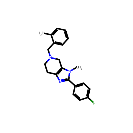 Cc1ccccc1CN1CCc2nc(-c3ccc(F)cc3)n(C)c2C1